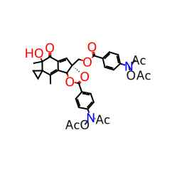 CC(=O)ON(C(C)=O)c1ccc(C(=O)OC[C@]2(C)C=C3C(=O)C(C)(O)C4(CC4)C(C)=C3C2OC(=O)c2ccc(N(OC(C)=O)C(C)=O)cc2)cc1